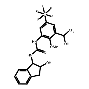 COc1c(NC(=O)NC2c3ccccc3CC2O)cc(S(F)(F)(F)(F)F)cc1C(O)C(F)(F)F